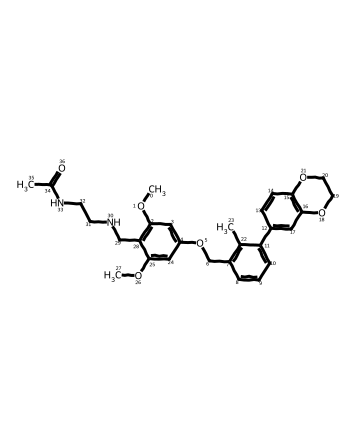 COc1cc(OCc2cccc(-c3ccc4c(c3)OCCO4)c2C)cc(OC)c1CNCCNC(C)=O